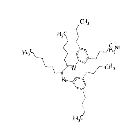 CCCCCCC(=Nc1cc(CCCC)cc(CCCC)c1)C(CCCCC)=Nc1cc(CCCC)cc(CCCC)c1.[Ni]